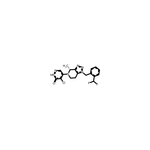 C[C@@H]1c2nnn(Cc3ccccc3C(F)F)c2CCN1c1cn[nH]c(=O)c1Cl